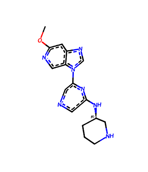 COc1cc2ncn(-c3cncc(N[C@@H]4CCCNC4)n3)c2cn1